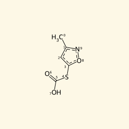 Cc1cc(SC(=O)O)on1